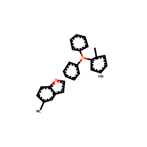 Br.Cc1ccccc1P(c1ccccc1)c1ccccc1.N#Cc1ccc2occc2c1